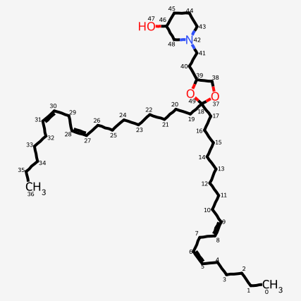 CCCCC/C=C\C/C=C\CCCCCCCCC1(CCCCCCCC/C=C\C/C=C\CCCCC)OCC(CCN2CCCC(O)C2)O1